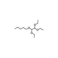 CCCCCOC(OCC)[C](OCC)OCC